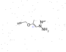 C#CCO/C(C)=C/N(N)N=C